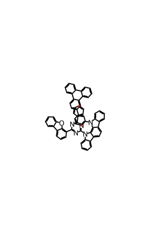 c1ccc(-c2nc(-c3cccc4c3oc3ccccc34)nc(-n3c4ccccc4c4ccc5c6ccccc6n(-c6cccc(-c7ccc8c9ccccc9c9ccccc9c8c7)c6)c5c43)n2)cc1